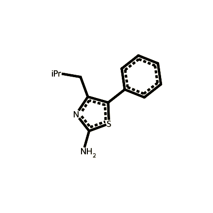 CC(C)Cc1nc(N)sc1-c1ccccc1